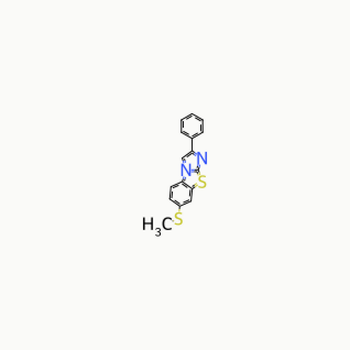 CSc1ccc2c(c1)sc1nc(-c3ccccc3)cn12